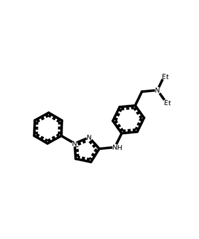 CCN(CC)Cc1ccc(Nc2ccn(-c3ccccc3)n2)cc1